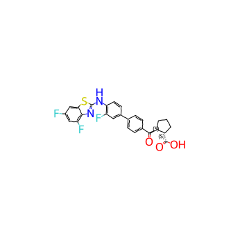 O=C(O)[C@H]1CCC[C@@H]1C(=O)c1ccc(-c2ccc(Nc3nc4c(F)cc(F)cc4s3)c(F)c2)cc1